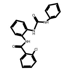 O=C(Nc1ccccc1)Nc1ccccc1NC(=O)c1ccccc1Cl